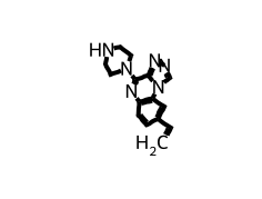 C=Cc1ccc2nc(N3CCNCC3)c3nncn3c2c1